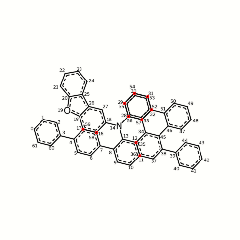 c1ccc(-c2ccc(-c3ccccc3N(c3ccc4oc5ccccc5c4c3)c3ccccc3-c3cccc(-c4ccccc4)c3-c3ccccc3-c3ccccc3)cc2)cc1